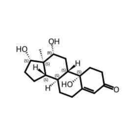 C[C@]12[C@H](O)C[C@H]3[C@@H](CCC4=CC(=O)CC[C@@]43O)[C@@H]1CC[C@@H]2O